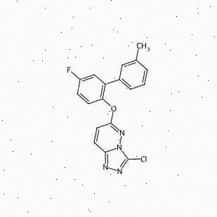 Cc1cccc(-c2cc(F)ccc2Oc2ccc3nnc(Cl)n3n2)c1